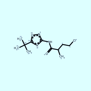 CC(CCCl)C(=O)Nc1noc(C(C)(C)C)n1